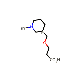 CC(C)N1CCC[C@@H](COCCC(=O)O)C1